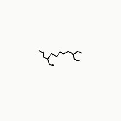 CCCC(CC)CC[CH]CCC(CC)CC